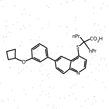 CCCC(CCC)(Sc1ccnc2ccc(-c3cccc(OC4CCC4)c3)cc12)C(=O)O